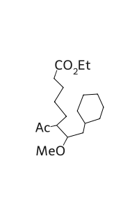 CCOC(=O)CCCCC(C(C)=O)C(CC1CCCCC1)OC